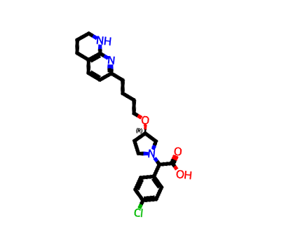 O=C(O)C(c1ccc(Cl)cc1)N1CC[C@@H](OCCCCc2ccc3c(n2)NCCC3)C1